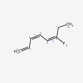 C=C/C=C\C=C(\F)CC